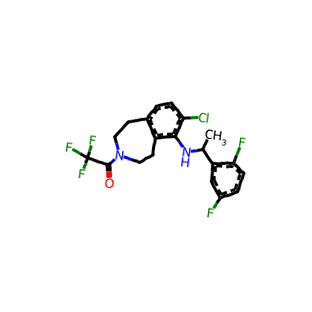 CC(Nc1c(Cl)ccc2c1CCN(C(=O)C(F)(F)F)CC2)c1cc(F)ccc1F